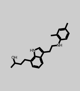 Cc1ccc(NCCc2c[nH]c3c(CCC(C)O)cccc23)c(C)c1